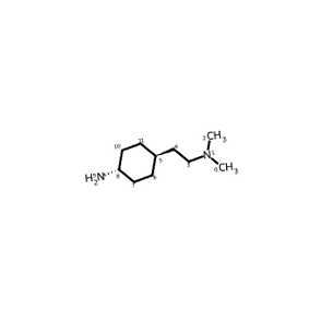 CN(C)CC[C@H]1CC[C@H](N)CC1